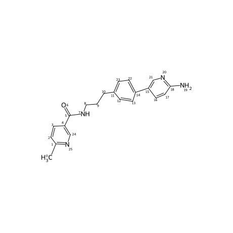 Cc1ccc(C(=O)NCCCc2ccc(-c3ccc(N)nc3)cc2)cn1